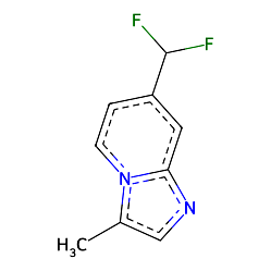 Cc1cnc2cc(C(F)F)ccn12